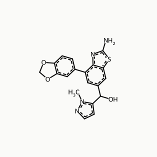 Cn1nccc1C(O)c1cc(-c2ccc3c(c2)OCO3)c2nc(N)sc2c1